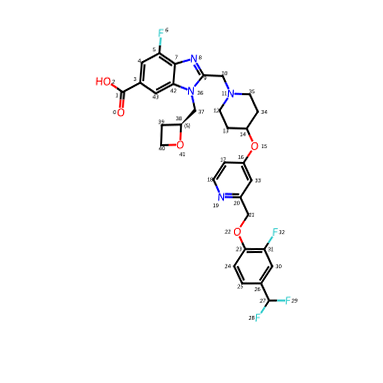 O=C(O)c1cc(F)c2nc(CN3CCC(Oc4ccnc(COc5ccc(C(F)F)cc5F)c4)CC3)n(C[C@@H]3CCO3)c2c1